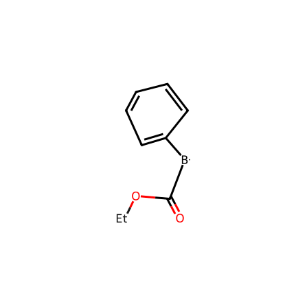 CCOC(=O)[B]c1ccccc1